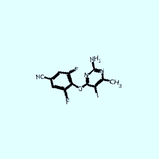 Cc1nc(N)nc(Oc2c(F)cc(C#N)cc2F)c1I